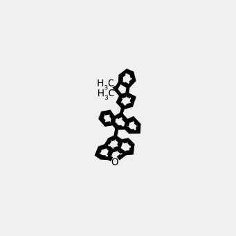 CC1(C)c2ccccc2-c2ccc(-c3c4ccccc4c(-c4cc5cccc6oc7cccc4c7c56)c4ccccc34)cc21